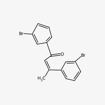 C/C(=C/C(=O)c1cccc(Br)c1)c1cccc(Br)c1